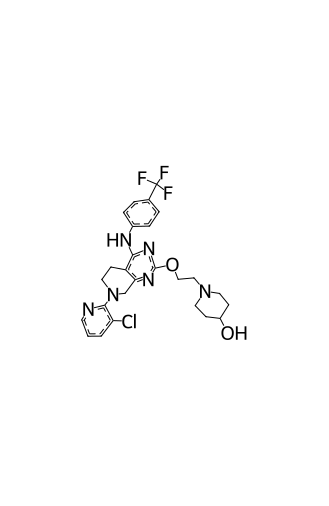 OC1CCN(CCOc2nc3c(c(Nc4ccc(C(F)(F)F)cc4)n2)CCN(c2ncccc2Cl)C3)CC1